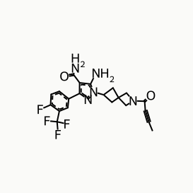 CC#CC(=O)N1CC2(CC(n3nc(-c4ccc(F)c(C(F)(F)F)c4)c(C(N)=O)c3N)C2)C1